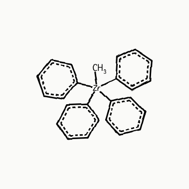 [CH3][Zr]([c]1ccccc1)([c]1ccccc1)([c]1ccccc1)[c]1ccccc1